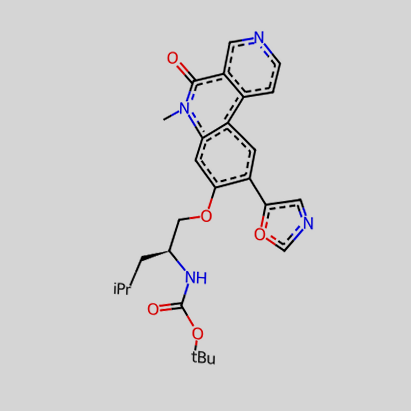 CC(C)C[C@@H](COc1cc2c(cc1-c1cnco1)c1ccncc1c(=O)n2C)NC(=O)OC(C)(C)C